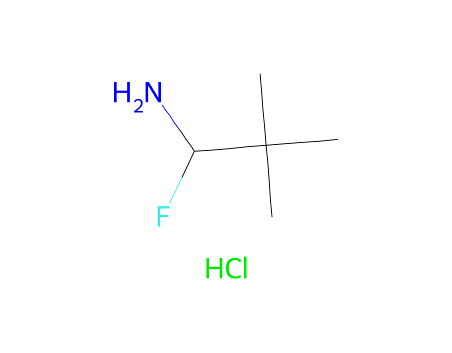 CC(C)(C)C(N)F.Cl